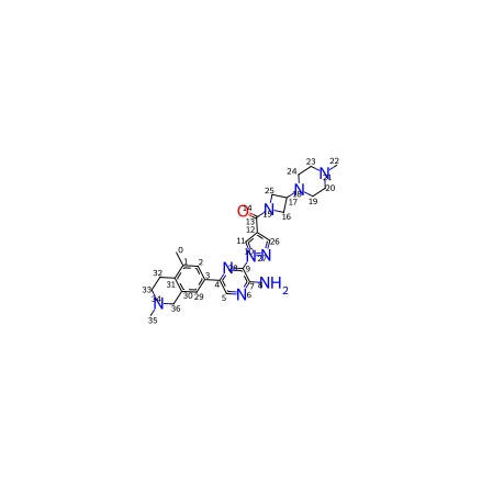 Cc1cc(-c2cnc(N)c(-n3cc(C(=O)N4CC(N5CCN(C)CC5)C4)cn3)n2)cc2c1CCN(C)C2